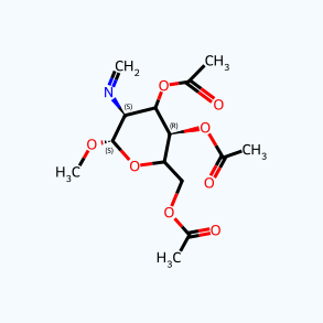 C=N[C@H]1C(OC(C)=O)[C@@H](OC(C)=O)C(COC(C)=O)O[C@@H]1OC